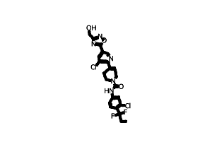 CCC(F)(F)c1ccc(NC(=O)N2CC=C(c3ncc(-c4nc(CO)no4)cc3Cl)CC2)cc1Cl